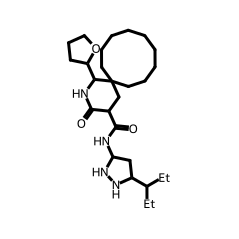 CCC(CC)C1CC(NC(=O)C2CC3(CCCCCCCCC3)C(C3CCCO3)NC2=O)NN1